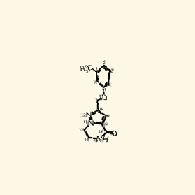 Cc1cccc(OCc2cc3n(n2)CCNC3=O)c1